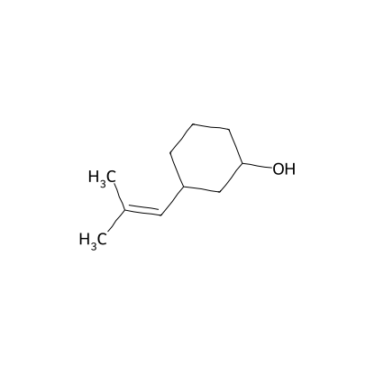 CC(C)=CC1CCCC(O)C1